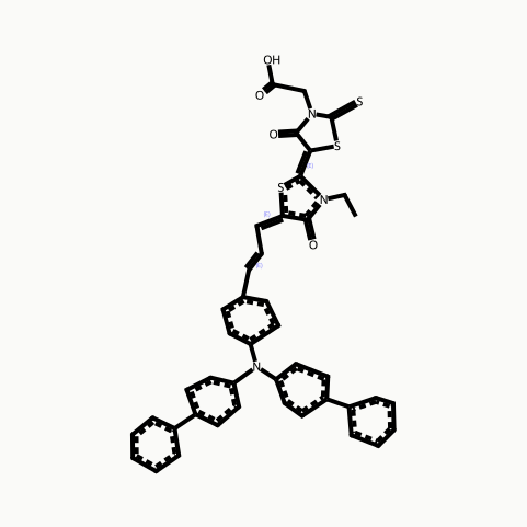 CCn1c(=O)/c(=C\C=C\c2ccc(N(c3ccc(-c4ccccc4)cc3)c3ccc(-c4ccccc4)cc3)cc2)s/c1=C1/SC(=S)N(CC(=O)O)C1=O